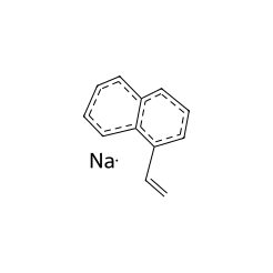 C=Cc1cccc2ccccc12.[Na]